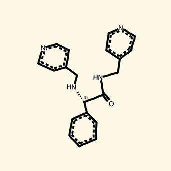 O=C(NCc1ccncc1)[C@@H](NCc1ccncc1)c1ccccc1